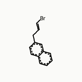 BrC=CCc1ccc2ccccc2c1